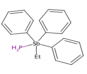 C[CH2][Sb]([PH2])([c]1ccccc1)([c]1ccccc1)[c]1ccccc1